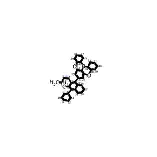 C=C/C=C\c1c(C)c(-c2ccccc2)c2ccccc2c1-c1cc2c3c(c1)Oc1ccccc1B3c1ccccc1O2